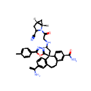 C=C(N)c1ccc2c(c1)CCc1cc(C(N)=O)ccc1C2(C[C@H](C)NCC(=O)N1C(C#N)C[C@@H]2C[C@@H]21)c1nnc(-c2ccc(C)cc2)o1